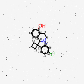 CN1CCc2c(O)cccc2C1C1(c2ccc(Cl)cc2)CCC1